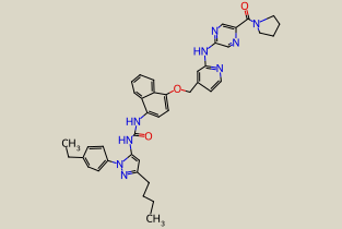 CCCCc1cc(NC(=O)Nc2ccc(OCc3ccnc(Nc4cnc(C(=O)N5CCCC5)cn4)c3)c3ccccc23)n(-c2ccc(CC)cc2)n1